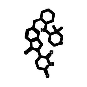 CC1(C)COCCC1NC1CCCC[C@@H]1Cc1ccc2c(c1)CN(C1CCC(=O)NC1=O)C2=O